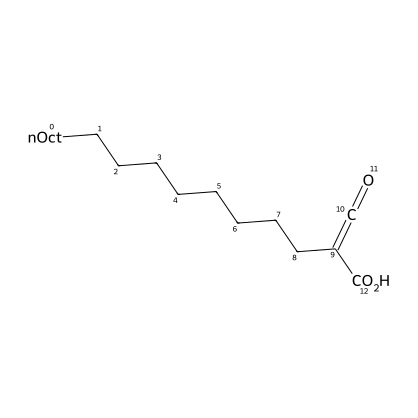 CCCCCCCCCCCCCCCCC(=C=O)C(=O)O